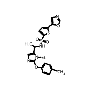 CCn1c(C(C)NS(=O)(=O)c2ccc(-c3cnco3)s2)cnc1Oc1ccc(C)cc1